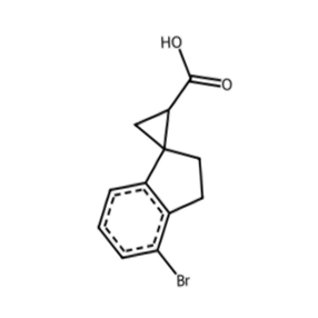 O=C(O)C1CC12CCc1c(Br)cccc12